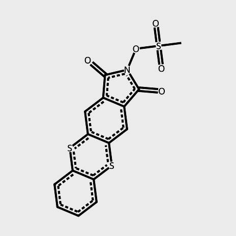 CS(=O)(=O)On1c(=O)c2cc3sc4ccccc4sc3cc2c1=O